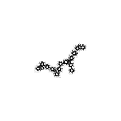 c1ccc(-c2ccc3c(c2)c2cc(-c4cccc(-c5ccc6c7ccccc7n(-c7ccc(-c8ccc(-c9cccc%10c9oc9ccccc9%10)cc8)cc7)c6c5)c4)ccc2n3-c2ccc(-c3ccc(-c4ccc5oc6ccccc6c5c4)cc3)cc2)cc1